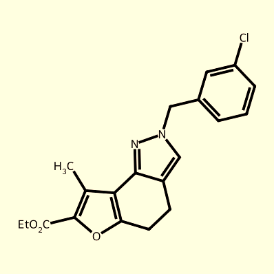 CCOC(=O)c1oc2c(c1C)-c1nn(Cc3cccc(Cl)c3)cc1CC2